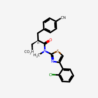 CN(C(=O)[C@@H](CC(=O)O)Cc1ccc(C#N)cc1)c1nc(-c2ccccc2Cl)cs1